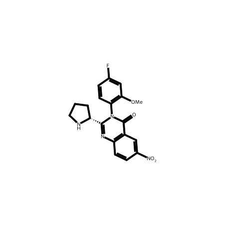 COc1cc(F)ccc1-n1c([C@H]2CCCN2)nc2ccc([N+](=O)[O-])cc2c1=O